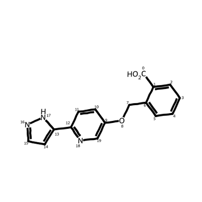 O=C(O)c1ccccc1COc1ccc(-c2ccn[nH]2)nc1